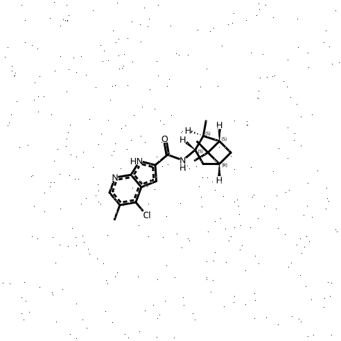 Cc1cnc2[nH]c(C(=O)N[C@H]3C[C@H]4C[C@@H]([C@@H]3C)C4(C)C)cc2c1Cl